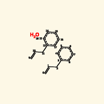 C=CCc1ccccc1.C=CCc1ccccc1.O